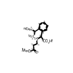 CCCCCCCCCCC(C)c1ccccc1C(SCCC(=O)OC)C(=O)O